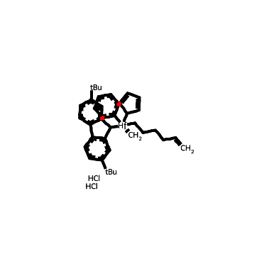 C=CCCC[CH2][Hf](=[CH2])([c]1ccccc1)([CH]1C=CC=C1)[CH]1c2cc(C(C)(C)C)ccc2-c2ccc(C(C)(C)C)cc21.Cl.Cl